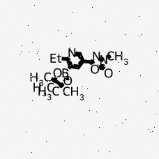 CCc1ncc(-c2nn(C)c(=O)o2)cc1B1OC(C)(C)C(C)(C)O1